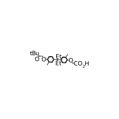 CCC(CC)(c1ccc(OCC(=O)O)c(C)c1)c1ccc(OCC(=O)C(C)(C)C)c(C)c1